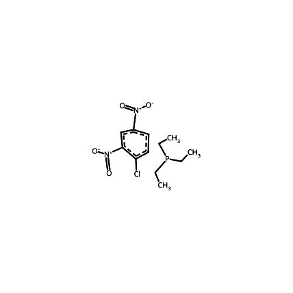 CCP(CC)CC.O=[N+]([O-])c1ccc(Cl)c([N+](=O)[O-])c1